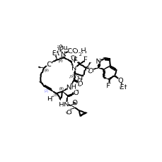 CCOc1cc2ccnc(O[C@]3(C)C[C@H]4C(=O)N[C@]5(C(=O)NS(=O)(=O)C6CC6)C[C@H]5/C=C\CC[C@@H](C)C[C@@H](CC)[C@H](N(C(=O)O)C(C)CC)C(=O)N4C3(F)F)c2cc1F